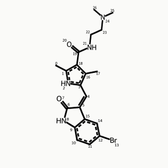 Cc1[nH]c(/C=C2\C(=O)Nc3ccc(Br)cc32)c(C)c1C(=O)NCCN(C)C